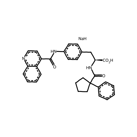 O=C(Nc1ccc(C[C@H](NC(=O)C2(c3ccccc3)CCCC2)C(=O)O)cc1)c1ccnc2ccccc12.[NaH]